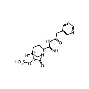 N=C(NC(=O)Cc1cncnc1)[C@@H]1CC[C@@H]2CN1C(=O)N2OS(=O)(=O)O